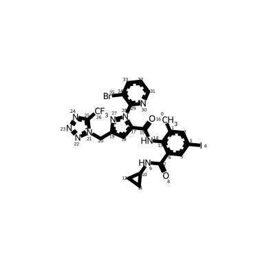 Cc1cc(I)cc(C(=O)NC2CC2)c1NC(=O)c1cc(Cn2nnnc2C(F)(F)F)nn1-c1ncccc1Br